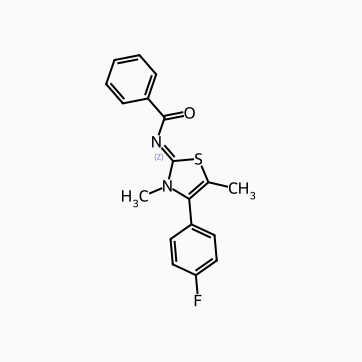 Cc1s/c(=N\C(=O)c2ccccc2)n(C)c1-c1ccc(F)cc1